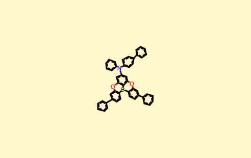 c1ccc(-c2ccc(N(c3ccccc3)c3cc4c5c(c3)Oc3cc(-c6ccccc6)ccc3B5c3ccc(-c5ccccc5)cc3O4)cc2)cc1